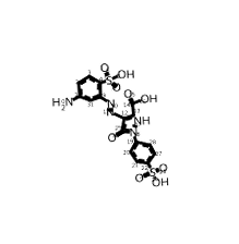 Nc1ccc(S(=O)(=O)O)c(N=Nc2c(C(=O)O)[nH]n(-c3ccc(S(=O)(=O)O)cc3)c2=O)c1